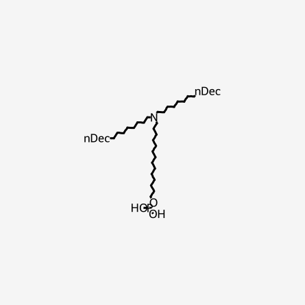 CCCCCCCCCCCCCCCCCCN(CCCCCCCCCCCCCCCCCC)CCCCCCCCCCCCCCOP(O)O